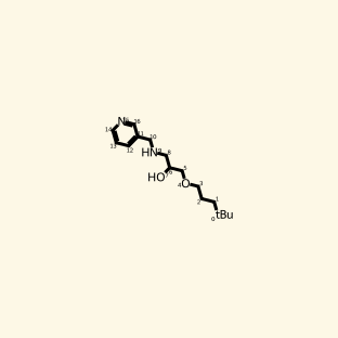 CC(C)(C)CCCOCC(O)CNCc1cccnc1